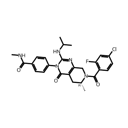 CNC(=O)c1ccc(-n2c(NC(C)C)nc3c(c2=O)C[C@@H](C)N(C(=O)c2ccc(Cl)cc2F)C3)cc1